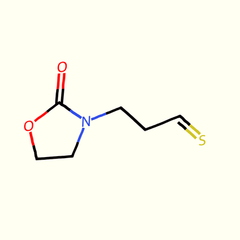 O=C1OCCN1CCC=S